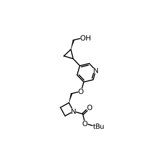 CC(C)(C)OC(=O)N1CC[C@H]1COc1cncc(C2C[C@H]2CO)c1